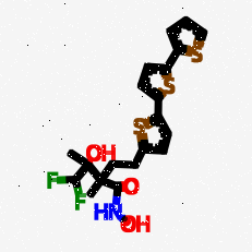 CC(CCc1ccc(-c2ccc(-c3cccs3)s2)s1)(C(=O)NO)C(C)(O)C(F)F